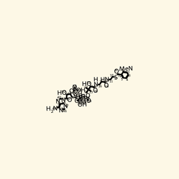 CNc1ccccc1C(=O)SCCNC(=O)CCNC(=O)C(O)C(C)(C)COP(=O)(O)OP(=O)(O)OC[C@H]1O[C@@H](n2cnc3c(N)ncnc32)[C@H](O)[C@@H]1OP(=O)(O)O